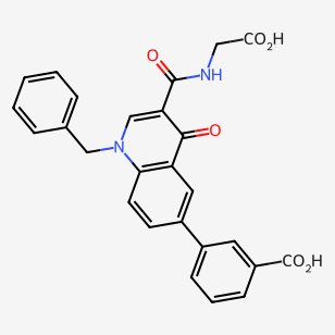 O=C(O)CNC(=O)c1cn(Cc2ccccc2)c2ccc(-c3cccc(C(=O)O)c3)cc2c1=O